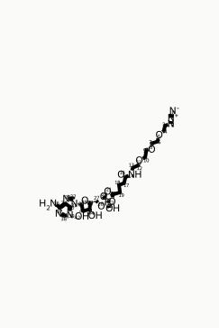 [N-]=[N+]=NCCOCCOCCOCCNC(=O)CCCC(=O)OP(=O)(O)OC[C@H]1O[C@@H](n2cnc3c(N)ncnc32)C(O)C1O